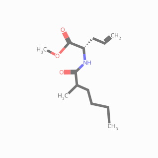 C=CC[C@H](NC(=O)C(C)CCCC)C(=O)OC